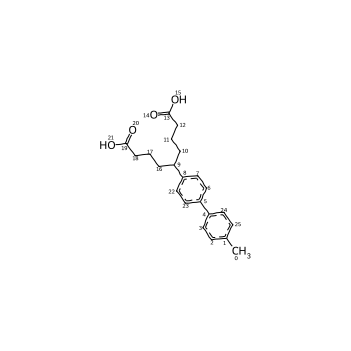 Cc1ccc(-c2ccc(C(CCCC(=O)O)CCCC(=O)O)cc2)cc1